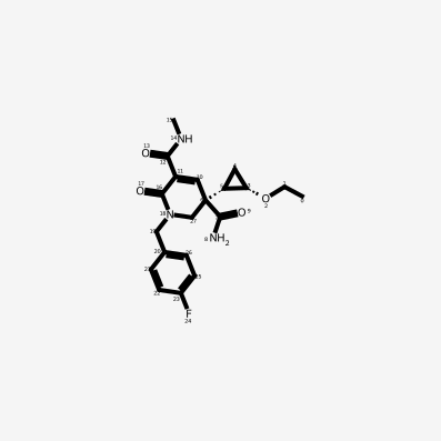 CCO[C@H]1C[C@H]1C1(C(N)=O)C=C(C(=O)NC)C(=O)N(Cc2ccc(F)cc2)C1